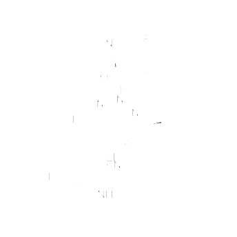 N#Cc1c(N)sc2c(F)ccc(-c3c(Cl)c4c5c(nc(OC[C@@]67CCCN6C[C@H](F)C7)nc5c3F)N(CC(F)F)[C@@H](c3ccccc3)CO4)c12